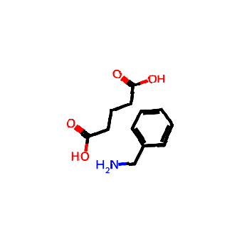 NCc1ccccc1.O=C(O)CCCC(=O)O